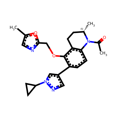 CC(=O)N1c2ccc(-c3cnn(C4CC4)c3)c(OCc3ncc(C)o3)c2CC[C@@H]1C